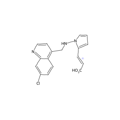 O=C(O)/C=C/c1cccn1NCc1ccnc2cc(Cl)ccc12